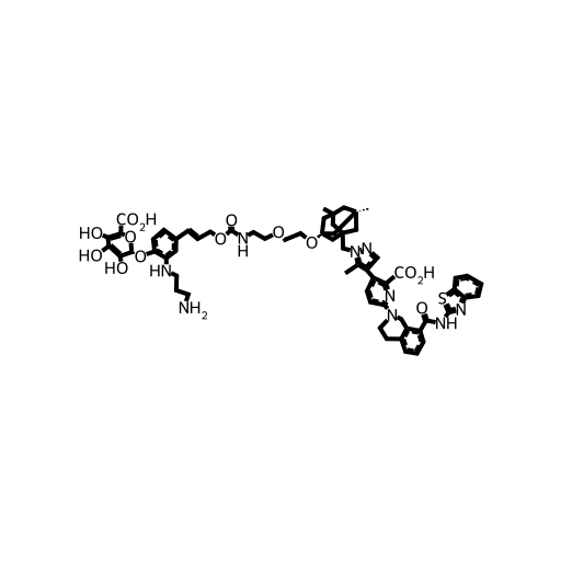 Cc1c(-c2ccc(N3CCc4cccc(C(=O)Nc5nc6ccccc6s5)c4C3)nc2C(=O)O)cnn1CC12CC3(C)C[C@@](C)(C1)C[C@@](OCCOCCNC(=O)OC/C=C/c1ccc(O[C@H]4OC(C(=O)O)=C(O)C(O)=C4O)c(NCCCN)c1)(C3)C2